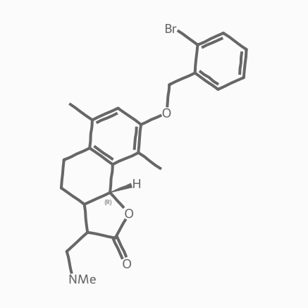 CNCC1C(=O)O[C@H]2c3c(C)c(OCc4ccccc4Br)cc(C)c3CCC12